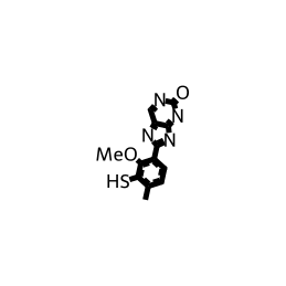 COc1c(C2=NC3=NC(=O)N=CC3=N2)ccc(C)c1S